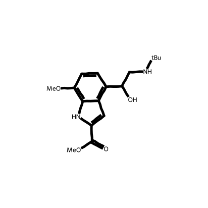 COC(=O)c1cc2c(C(O)CNC(C)(C)C)ccc(OC)c2[nH]1